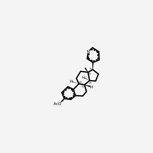 CC(=O)Oc1ccc2c(c1)CC[C@@H]1[C@@H]2CC[C@]2(C)[C@@H](c3cccnc3)CC[C@@H]12